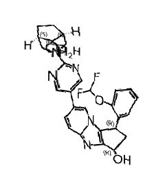 O=C(O)[C@@H]1[C@@H]2CC[C@H]1CN(c1ncc(-c3ccc4nc5c(n4c3)[C@@H](c3ccccc3OC(F)F)C[C@H]5O)cn1)C2